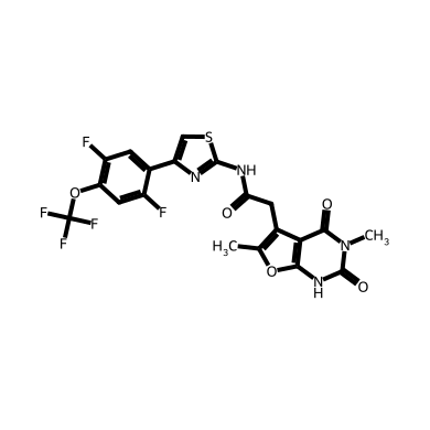 Cc1oc2[nH]c(=O)n(C)c(=O)c2c1CC(=O)Nc1nc(-c2cc(F)c(OC(F)(F)F)cc2F)cs1